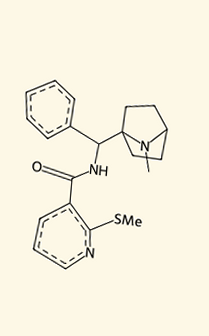 CSc1ncccc1C(=O)NC(c1ccccc1)C12CCC(CC1)N2C